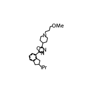 COCCCN1CCC(c2nnc(-c3cccc4c3CC(C(C)C)C4)o2)CC1